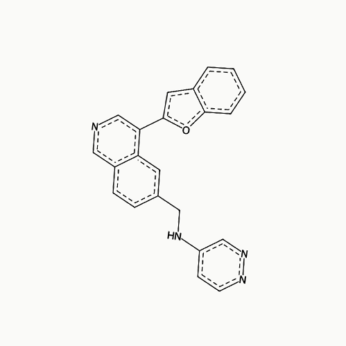 c1ccc2oc(-c3cncc4ccc(CNc5ccnnc5)cc34)cc2c1